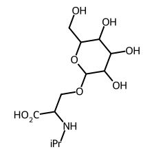 CC(C)NC(COC1OC(CO)C(O)C(O)C1O)C(=O)O